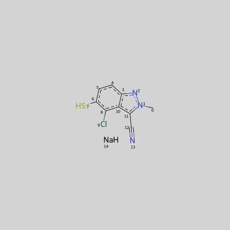 Cn1nc2ccc(S)c(Cl)c2c1C#N.[NaH]